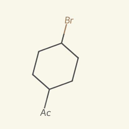 CC(=O)C1CCC(Br)CC1